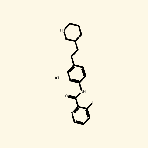 Cl.O=C(Nc1ccc(CCC2CCCNC2)cc1)c1ncccc1F